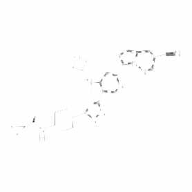 N#Cc1cnn2c(-c3cc(NC4COC4)c(-c4nnc(C5CCC(NC(=O)C6CC6)CC5)s4)cn3)ccc2c1